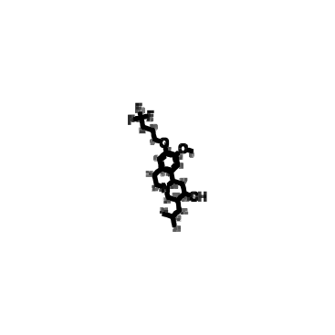 COc1cc2c(cc1OCCCC(F)(F)F)CCN1CC(CC(C)C)C(O)CC21